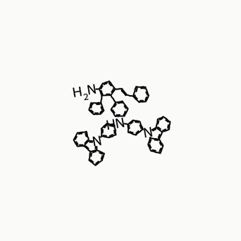 Nc1ccc(C=Cc2ccccc2)c(-c2ccccc2)c1-c1ccccc1.c1ccc2c(c1)c1ccccc1n2-c1ccc(Nc2ccc(-n3c4ccccc4c4ccccc43)cc2)cc1